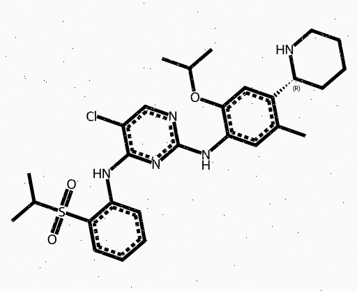 Cc1cc(Nc2ncc(Cl)c(Nc3ccccc3S(=O)(=O)C(C)C)n2)c(OC(C)C)cc1[C@H]1CCCCN1